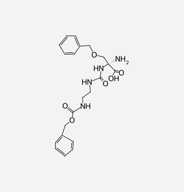 N[C@@](COCc1ccccc1)(NC(=O)NCCNC(=O)OCc1ccccc1)C(=O)O